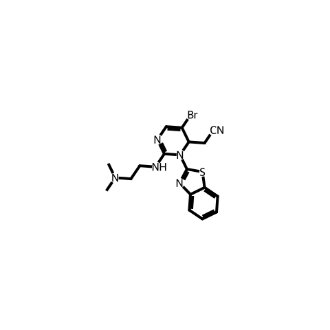 CN(C)CCNC1=NC=C(Br)C(CC#N)N1c1nc2ccccc2s1